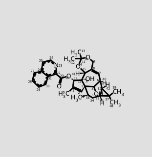 CC1=C[C@]23C(O)[C@@H](C=C4COC(C)(C)O[C@H]4[C@]2(O)[C@H]1OC(=O)c1nccc2ccccc12)[C@H]1[C@@H](C[C@H]3C)C1(C)C